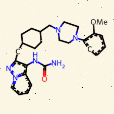 COc1ccccc1N1CCN(CC2CCC(Cc3nn4ccccc4c3NC(N)=O)CC2)CC1